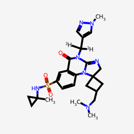 [2H]C([2H])(c1cnn(C)c1)N1C(=O)c2cc(S(=O)(=O)NC3(C)CC3)ccc2N2C1=NCC21CC(CN(C)C)C1